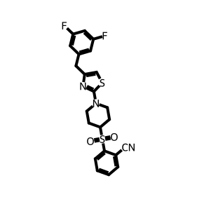 N#Cc1ccccc1S(=O)(=O)C1CCN(c2nc(Cc3cc(F)cc(F)c3)cs2)CC1